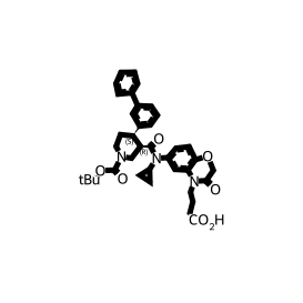 CC(C)(C)OC(=O)N1CC[C@H](c2cccc(-c3ccccc3)c2)[C@@H](C(=O)N(c2ccc3c(c2)N(CCCC(=O)O)C(=O)CO3)C2CC2)C1